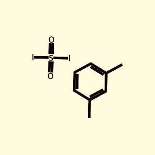 Cc1cccc(C)c1.O=S(=O)(I)I